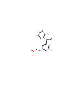 CCCOC(=O)CCc1cc2c(c(C(C)(C)C)c1)OC(=O)C2c1c(C)c(C)c(C)c(C)c1C